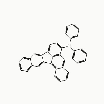 c1ccc(N(c2ccccc2)c2ccc3c4c(c5ccccc5cc24)-c2cc4ccccc4cc2-3)cc1